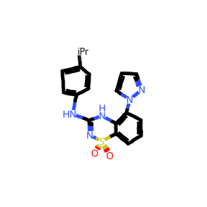 CC(C)c1ccc(NC2=NS(=O)(=O)c3cccc(-n4cccn4)c3N2)cc1